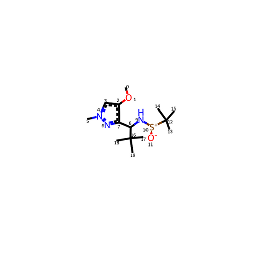 COc1cn(C)nc1C(N[S@+]([O-])C(C)(C)C)C(C)(C)C